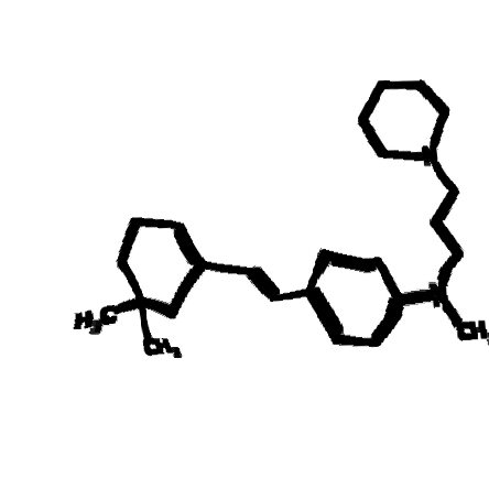 CN(CCCN1CCCCC1)c1ccc(C=CC2=CCCC(C)(C)C2)cc1